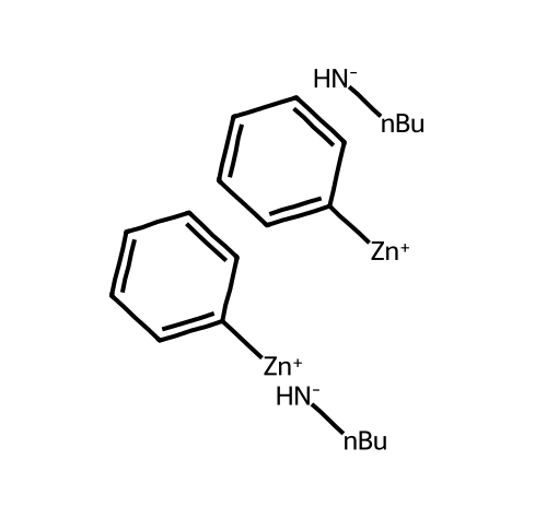 CCCC[NH-].CCCC[NH-].[Zn+][c]1ccccc1.[Zn+][c]1ccccc1